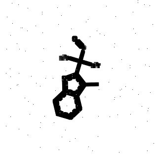 CCCC(CCC)(P=O)c1sc2ccccc2c1C